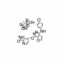 CC(S(=O)(=O)O)S(=O)(=O)O.CNC(=O)c1cc(COc2nnc(Nc3ccc(Cl)cc3)c3ccoc23)ccn1